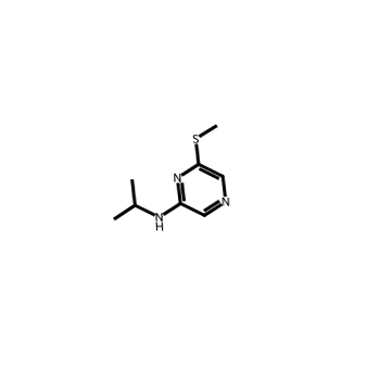 CSc1cncc(NC(C)C)n1